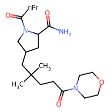 CCCC(=O)N1CC(CC(C)(C)CCC(=O)N2CCOCC2)CC1C(N)=O